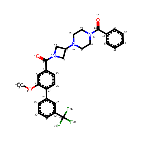 COc1cc(C(=O)N2CC(N3CCN(C(=O)c4ccccc4)CC3)C2)ccc1-c1cccc(C(F)(F)F)c1